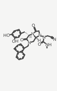 CNC(=O)N(CC#N)N1CC(=O)N2[C@@H](Cc3ccc(O)c(O)c3)C(=O)N(Cc3cccc4ccccc34)C[C@@H]21